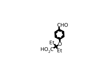 CCC(CC)(Oc1ccc(C=O)cc1)C(=O)O